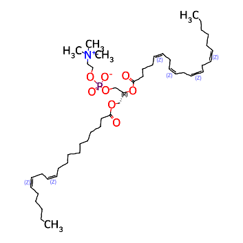 CCCCC/C=C\C/C=C\C/C=C\C/C=C\CCCC(=O)O[C@H](COC(=O)CCCCCCCCC/C=C\C/C=C\CCCCC)COP(=O)([O-])OCC[N+](C)(C)C